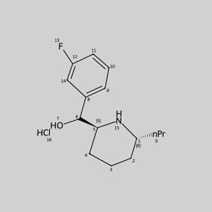 CCC[C@@H]1CCC[C@@H](C(O)c2cccc(F)c2)N1.Cl